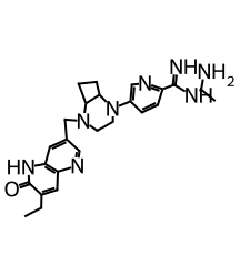 CCc1cc2ncc(CN3CCN(c4ccc(C(=N)NC(C)N)nc4)C4CCC43)cc2[nH]c1=O